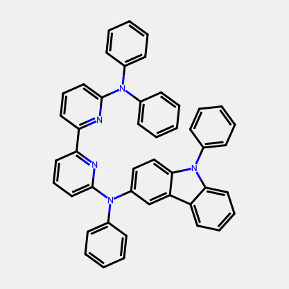 c1ccc(N(c2ccccc2)c2cccc(-c3cccc(N(c4ccccc4)c4ccc5c(c4)c4ccccc4n5-c4ccccc4)n3)n2)cc1